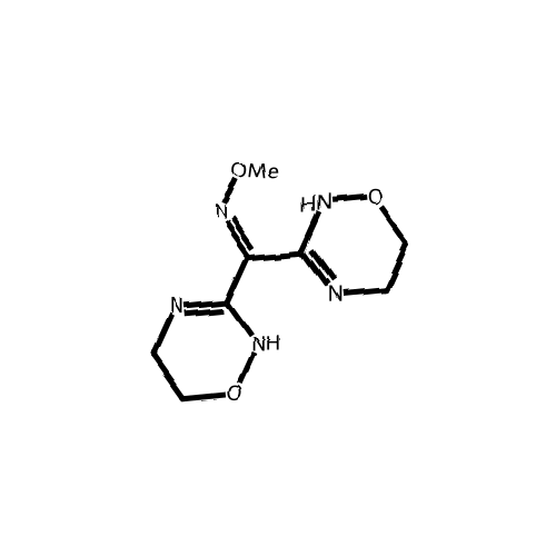 CON=C(C1=NCCON1)C1=NCCON1